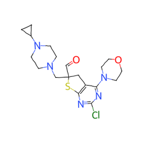 O=CC1(CN2CCN(C3CC3)CC2)Cc2c(nc(Cl)nc2N2CCOCC2)S1